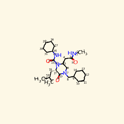 CNC(=O)CC1CN(CC2CCCCC2)C(=O)[C@H](CC(C)C)N1C(=O)NC1CCCCC1